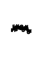 CC(C)Oc1c(F)c(F)cc2nc(Cn3cccc(NC(=O)C(CCC=CC(=O)N(C)C)OC(=O)N(C)C)c3=O)[nH]c12